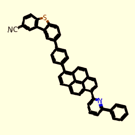 N#Cc1ccc2sc3ccc(-c4ccc(-c5ccc6ccc7c(-c8cccc(-c9ccccc9)n8)ccc8ccc5c6c87)cc4)cc3c2c1